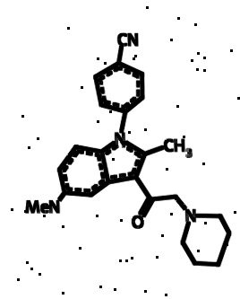 CNc1ccc2c(c1)c(C(=O)CN1CCCCC1)c(C)n2-c1ccc(C#N)cc1